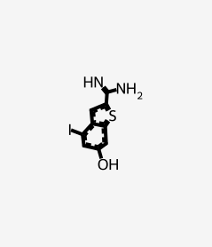 N=C(N)c1cc2c(I)cc(O)cc2s1